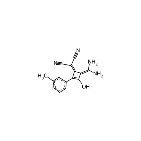 Cc1cc(C2=C(O)C(=C(N)N)C2=C(C#N)C#N)ccn1